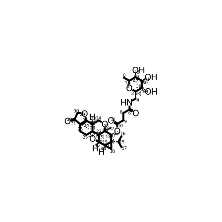 CC1O[C@H](CNC(=O)CCC(=O)O[C@@H]2[C@@]3(C(C)C)C[C@H]3[C@@H]3O[C@@]34[C@@]3(C)CCC5=C(OCC5=O)[C@@H]3CO[C@]24C)[C@@H](O)[C@H](O)[C@H]1O